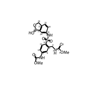 COC(=O)NCc1cc(NC(=O)OC)ccc1S(=O)(=O)Nc1ccc2c(c1)B(O)OC2